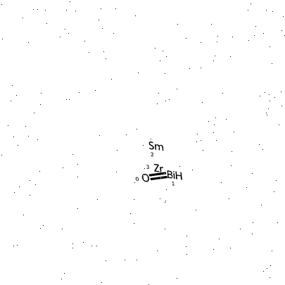 [O]=[BiH].[Sm].[Zr]